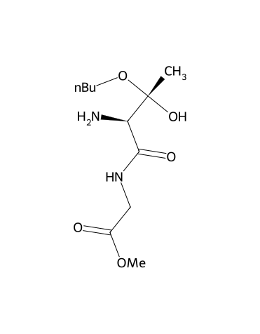 CCCCO[C@](C)(O)[C@H](N)C(=O)NCC(=O)OC